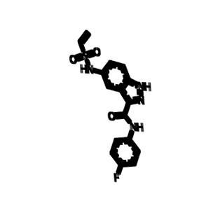 C=CS(=O)(=O)Nc1ccc2[nH]nc(C(=O)Nc3ccc(F)cc3)c2c1